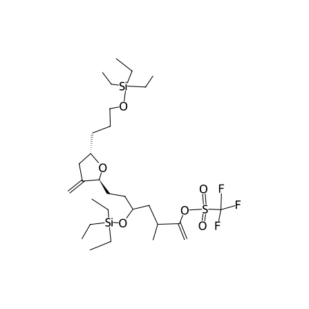 C=C(OS(=O)(=O)C(F)(F)F)C(C)CC(CC[C@@H]1O[C@@H](CCCO[Si](CC)(CC)CC)CC1=C)O[Si](CC)(CC)CC